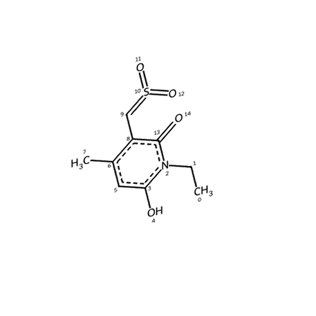 CCn1c(O)cc(C)c(C=S(=O)=O)c1=O